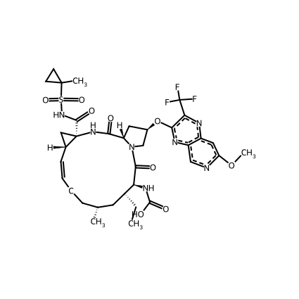 CC[C@@H]1C[C@H](C)CC/C=C\[C@@H]2C[C@@]2(C(=O)NS(=O)(=O)C2(C)CC2)NC(=O)[C@@H]2C[C@@H](Oc3nc4cnc(OC)cc4nc3C(F)(F)F)CN2C(=O)[C@H]1NC(=O)O